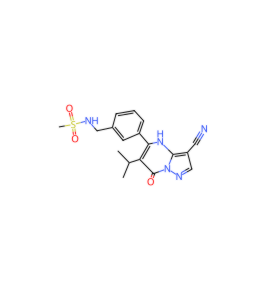 CC(C)c1c(-c2cccc(CNS(C)(=O)=O)c2)[nH]c2c(C#N)cnn2c1=O